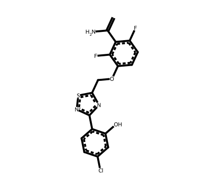 C=C(N)c1c(F)ccc(OCc2nc(-c3ccc(Cl)cc3O)ns2)c1F